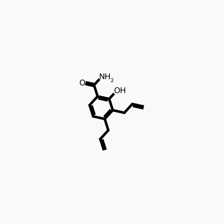 C=CCc1ccc(C(N)=O)c(O)c1CC=C